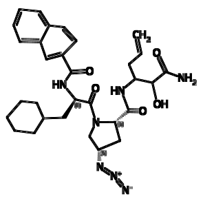 C=CCC(NC(=O)[C@@H]1C[C@H](N=[N+]=[N-])CN1C(=O)[C@@H](CC1CCCCC1)NC(=O)c1ccc2ccccc2c1)C(O)C(N)=O